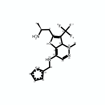 C[C@H](N)CC1=C(C(F)(F)F)C2C(=C(NCc3cccs3)C=NN2C)S1